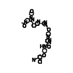 CC(=O)N1CCc2c(c(-c3cccc4cc(-c5cnn(CCOC6CCN(c7ccc(C(=O)NC8CCC(Oc9ccc(C#N)c(Cl)c9)CC8)nn7)CC6)c5)ncc34)nn2C2CCOCC2)C1